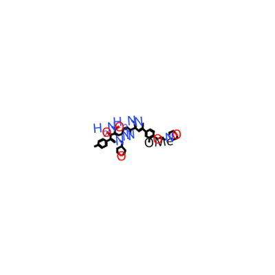 COc1cc(-c2cnc(N)c(-c3ccc(-c4c(C(N)=O)c(=O)c(-c5ccc(C)cc5)cn4CC4CCOCC4)nn3)c2)ccc1OCCN1CCOCC1